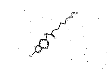 N#Cc1nc2ccc(NC(=O)CCCCCNC(=O)O)cc2s1